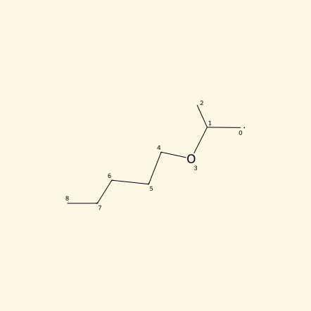 [CH2]C(C)OCCCCC